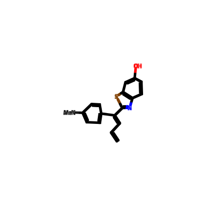 C=C/C=C(\c1ccc(NC)cc1)c1nc2ccc(O)cc2s1